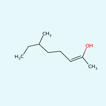 CCC(C)CCC=C(C)O